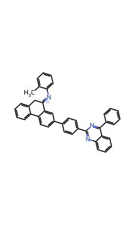 Cc1ccccc1/N=C1\Cc2ccccc2-c2ccc(-c3ccc(-c4nc(-c5ccccc5)c5ccccc5n4)cc3)cc21